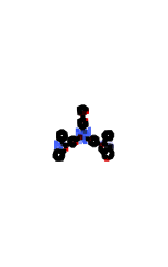 C/C(=C(\N=c1\cccccc1C)c1ccccc1)c1ccc(-c2nc(-c3ccc(/C4=C(c5ccccc5)/C=C/C5C=CC=CC(=C5)C4)cc3)nc(-c3ccc(-c4ccccc4)cc3)n2)cc1